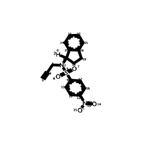 [2H]C1(N(CC#C)S(=O)(=O)c2ccc([N+](=O)[O-])cc2)CCc2ccccc21